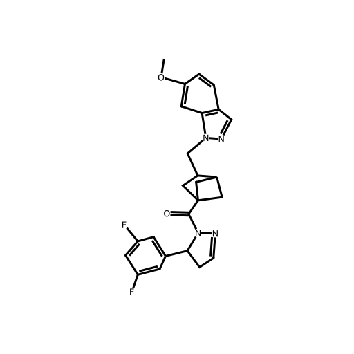 COc1ccc2cnn(CC3CC4(C(=O)N5N=CCC5c5cc(F)cc(F)c5)CC3C4)c2c1